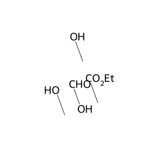 CCOC(C)=O.CO.CO.O=CO